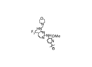 COc1nc(P(C)(C)=O)ccc1NC1=NC=CC(C(F)(F)F)C(NCN2CCOCC2)=N1